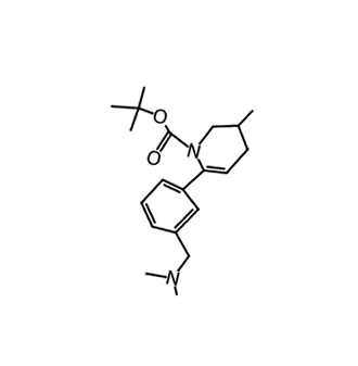 CC1CC=C(c2cccc(CN(C)C)c2)N(C(=O)OC(C)(C)C)C1